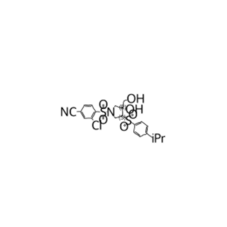 CC(C)c1ccc(S(=O)(=O)[C@H]2CN(S(=O)(=O)c3ccc(C#N)cc3Cl)C[C@@]2(O)CO)cc1